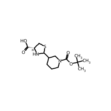 CC(C)(C)OC(=O)N1CCCC(C2N[C@H](C(=O)O)CS2)C1